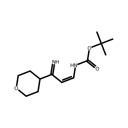 CC(C)(C)OC(=O)N/C=C\C(=N)C1CCOCC1